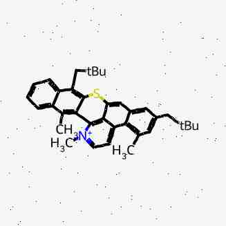 Cc1c2c(c(CC(C)(C)C)c3ccccc13)Sc1cc3cc(CC(C)(C)C)cc(C)c3c3cc[n+](C)c-2c13